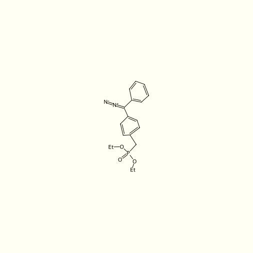 CCOP(=O)(Cc1ccc(C(=[N+]=[N-])c2ccccc2)cc1)OCC